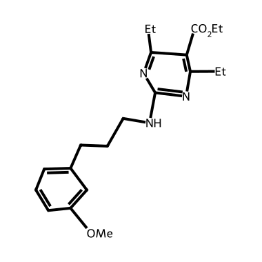 CCOC(=O)c1c(CC)nc(NCCCc2cccc(OC)c2)nc1CC